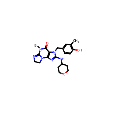 CCN1C(=O)c2c(nc(NC3CCOCC3)n2Cc2ccc(O)c(C)c2)N2CCN=C12